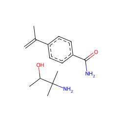 C=C(C)c1ccc(C(N)=O)cc1.CC(O)C(C)(C)N